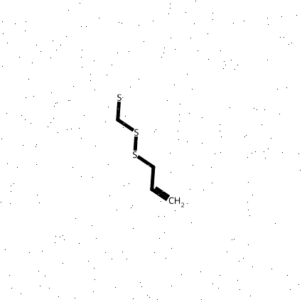 C=CCSSC[S]